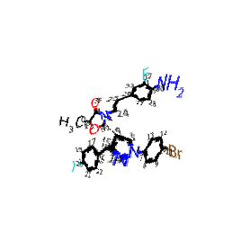 C[C@@H]1O[C@@H](c2cn(-c3ccc(Br)cc3)nc2-c2ccc(F)cc2)N(CCc2ccc(N)c(F)c2)C1=O